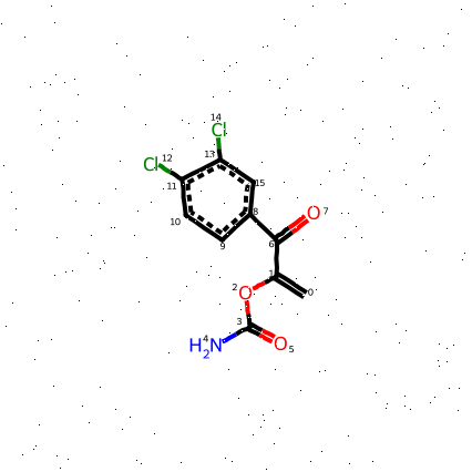 C=C(OC(N)=O)C(=O)c1ccc(Cl)c(Cl)c1